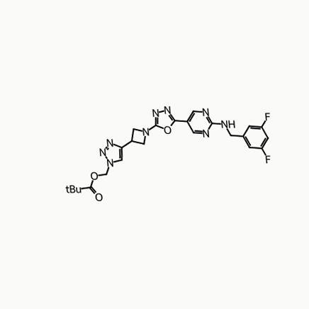 CC(C)(C)C(=O)OCn1cc(C2CN(c3nnc(-c4cnc(NCc5cc(F)cc(F)c5)nc4)o3)C2)nn1